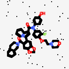 O=C(c1cc2c(cc1-c1cc(C(=O)N(c3ccc(O)cc3)c3ccc(OCCN4CCOCC4)c(F)c3)c3ccccn13)OCO2)N1CCc2ccccc2C1